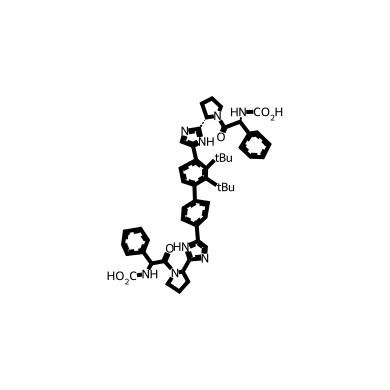 CC(C)(C)c1c(-c2ccc(-c3cnc(C4CCCN4C(=O)C(NC(=O)O)c4ccccc4)[nH]3)cc2)ccc(-c2cnc([C@@H]3CCCN3C(=O)[C@H](NC(=O)O)c3ccccc3)[nH]2)c1C(C)(C)C